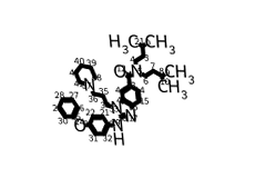 CC(C)CCN(CCC(C)C)C(=O)c1ccc2nc(Nc3ccc(Oc4ccccc4)cc3)n(CCCN3CCCCC3)c2c1